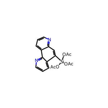 CC(=O)O[Si](OC(C)=O)(OC(C)=O)c1cc2ncccc2c2ncccc12